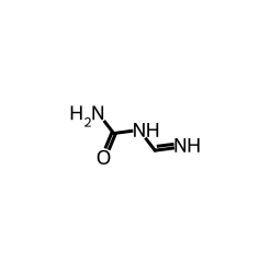 N=CNC(N)=O